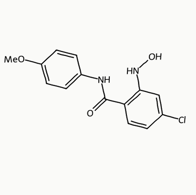 COc1ccc(NC(=O)c2ccc(Cl)cc2NO)cc1